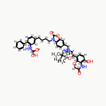 CC(C)(C)[Si](C)(C)O[C@@H](CNCc1ccc2c(c1)oc(=O)n2CCCCc1ccc(-c2ccccc2)c(NC(=O)O)c1)c1ccc(O)c2c1OCC(=O)N2